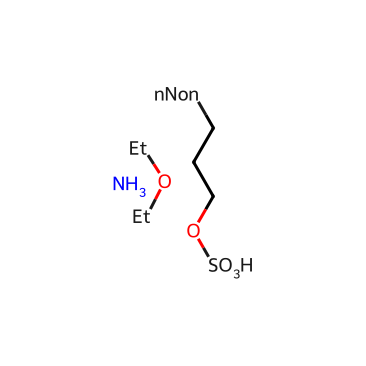 CCCCCCCCCCCCOS(=O)(=O)O.CCOCC.N